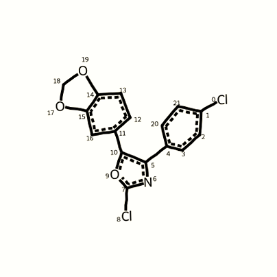 Clc1ccc(-c2nc(Cl)oc2-c2ccc3c(c2)OCO3)cc1